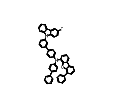 Fc1ccc2c(c1)c1ccccc1n2-c1cccc(-c2ccc(N(c3ccc(-c4ccccc4)cc3)c3cccc4c3oc3c(-c5ccccc5)cccc34)cc2)c1